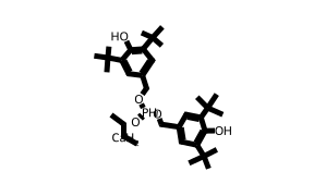 CC(C)(C)c1cc(CO[PH](=O)OCc2cc(C(C)(C)C)c(O)c(C(C)(C)C)c2)cc(C(C)(C)C)c1O.CCCC.[CaH2]